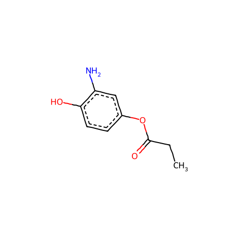 CCC(=O)Oc1ccc(O)c(N)c1